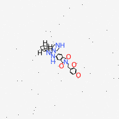 COc1ccc(CCN2C(=O)c3ccc(N/C(=N/[C@H]4C[C@H]5C[C@@H]([C@@H]4C)C5(C)C)N4CCN[C@@H](C)C4)cc3C2=O)c(OC)c1